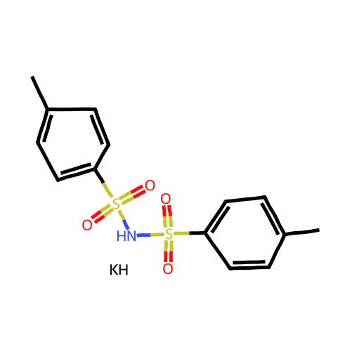 Cc1ccc(S(=O)(=O)NS(=O)(=O)c2ccc(C)cc2)cc1.[KH]